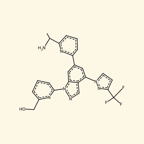 CC(N)c1cccc(-c2cc(-n3ccc(C(F)(F)F)n3)c3cnn(-c4cccc(CO)n4)c3c2)n1